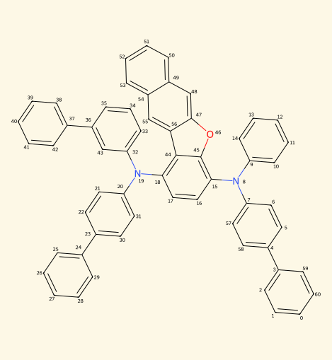 c1ccc(-c2ccc(N(c3ccccc3)c3ccc(N(c4ccc(-c5ccccc5)cc4)c4cccc(-c5ccccc5)c4)c4c3oc3cc5ccccc5cc34)cc2)cc1